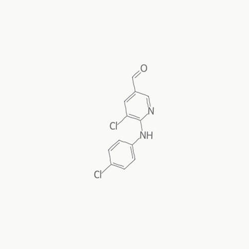 O=Cc1cnc(Nc2ccc(Cl)cc2)c(Cl)c1